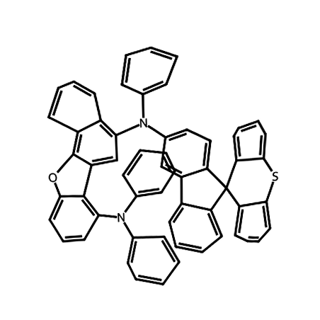 c1ccc(N(c2ccc3c(c2)-c2ccccc2C32c3ccccc3Sc3ccccc32)c2cc3c(oc4cccc(N(c5ccccc5)c5ccccc5)c43)c3ccccc23)cc1